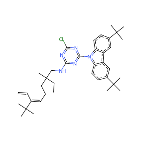 C=C/C(=C\CCC(C)(CC)CNc1nc(Cl)nc(-n2c3ccc(C(C)(C)C)cc3c3cc(C(C)(C)C)ccc32)n1)C(C)(C)C